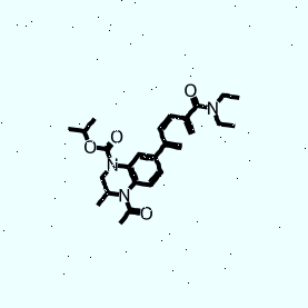 C=C(/C=C\C(=C)c1ccc2c(c1)N(C(=O)OC(C)C)CC(C)N2C(C)=O)C(=O)N(CC)CC